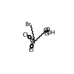 O=C(O)C(Cl)(Cl)CCCCCCCCC(COc1ccc(Cl)cc1)C(CCCCCCCCCBr)Oc1ccc(Cl)cc1